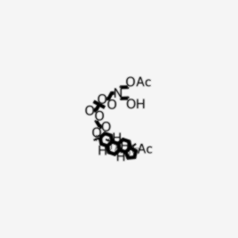 CC(=O)OCCN(CCO)CC(=O)OC(C)(C)C(=O)OCC(=O)O[C@]1(C)CC[C@@]2(C)[C@@H](CC[C@@H]3[C@@H]2CC[C@]2(C)[C@@H](C(C)=O)CC[C@@H]32)C1